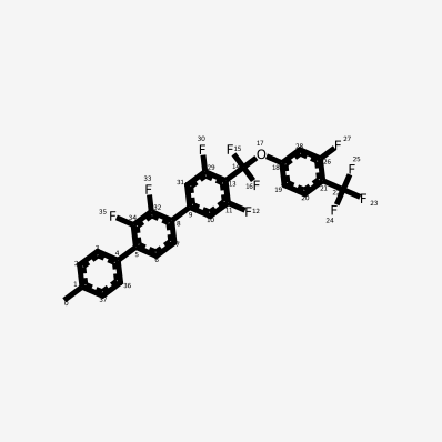 Cc1ccc(-c2ccc(-c3cc(F)c(C(F)(F)Oc4ccc(C(F)(F)F)c(F)c4)c(F)c3)c(F)c2F)cc1